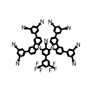 N#Cc1cc(C#N)cc(-c2ccc3c(c2)c2cc(-c4cc(C#N)cc(C#N)c4)ccc2n3-c2cc(-c3cc(C(F)(F)F)cc(C(F)(F)F)c3)cc(-n3c4ccc(-c5cc(C#N)cc(C#N)c5)cc4c4cc(-c5cc(C#N)cc(C#N)c5)ccc43)c2C#N)c1